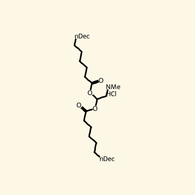 CCCCCCCCCCCCCCCC(=O)OC(CNC)OC(=O)CCCCCCCCCCCCCCC.Cl